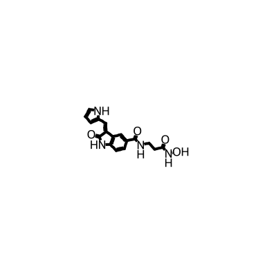 O=C(CCNC(=O)c1ccc2c(c1)C(=Cc1ccc[nH]1)C(=O)N2)NO